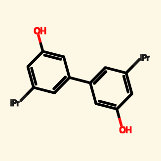 CC(C)c1cc(O)cc(-c2cc(O)cc(C(C)C)c2)c1